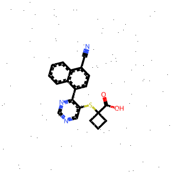 N#Cc1ccc(-c2ncncc2SC2(C(=O)O)CCC2)c2ccccc12